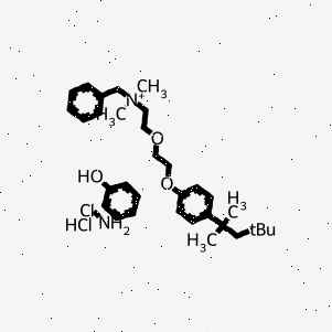 CC(C)(C)CC(C)(C)c1ccc(OCCOCC[N+](C)(C)Cc2ccccc2)cc1.Cl.NCl.Oc1ccccc1